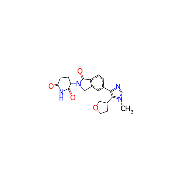 Cn1cnc(-c2ccc3c(c2)CN(C2CCC(=O)NC2=O)C3=O)c1C1CCOC1